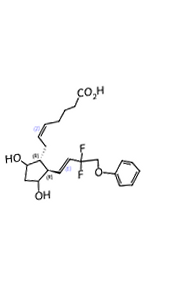 O=C(O)CCC/C=C\C[C@H]1C(O)CC(O)[C@@H]1/C=C/C(F)(F)COc1ccccc1